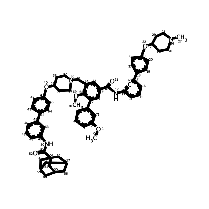 COc1cccc(-c2cc(C(=O)Nc3cccc(-c4ccc(OC5CCN(C)CC5)cc4)c3)cc(CN3CCC(Oc4ccc(-c5cccc(NC(=O)C67CC8CC(CC(C8)C6)C7)c5)cc4)CC3)c2OC)c1